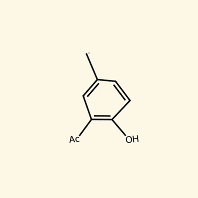 [CH2]c1ccc(O)c(C(C)=O)c1